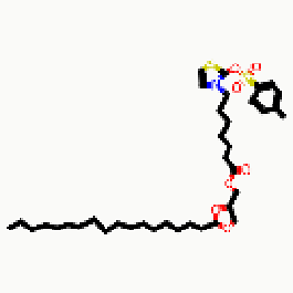 CCCCCCCCCCCCCCCCCC1OCC(COC(=O)CCCCCCN2C=CSC2OS(=O)(=O)c2ccc(C)cc2)O1